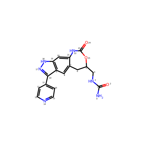 NC(=O)NCC1Cc2cc3c(-c4ccncc4)n[nH]c3cc2NC(=O)O1